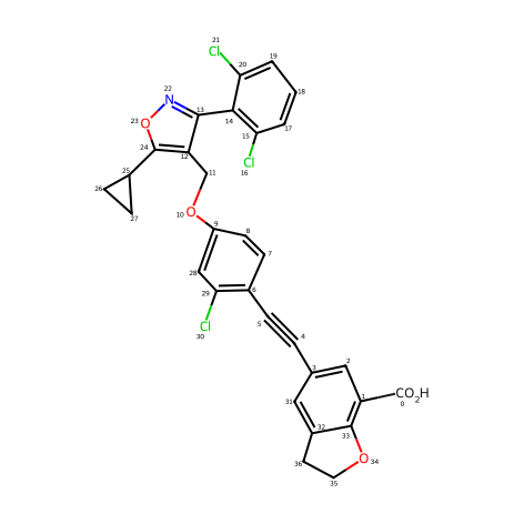 O=C(O)c1cc(C#Cc2ccc(OCc3c(-c4c(Cl)cccc4Cl)noc3C3CC3)cc2Cl)cc2c1OCC2